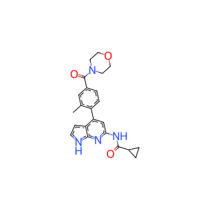 Cc1cc(C(=O)N2CCOCC2)ccc1-c1cc(NC(=O)C2CC2)nc2[nH]ccc12